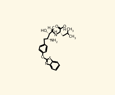 C=C(N[C@@H](CC(C)C)C(=O)O)[C@@H](O)[C@H](N)Cc1ccc(Oc2nc3ccccc3s2)cc1